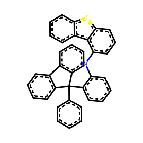 c1ccc(C2(c3ccccc3Nc3cccc4sc5ccccc5c34)c3ccccc3-c3ccccc32)cc1